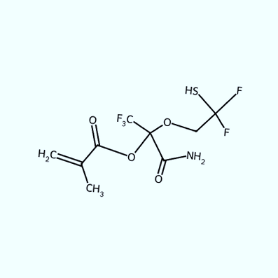 C=C(C)C(=O)OC(OCC(F)(F)S)(C(N)=O)C(F)(F)F